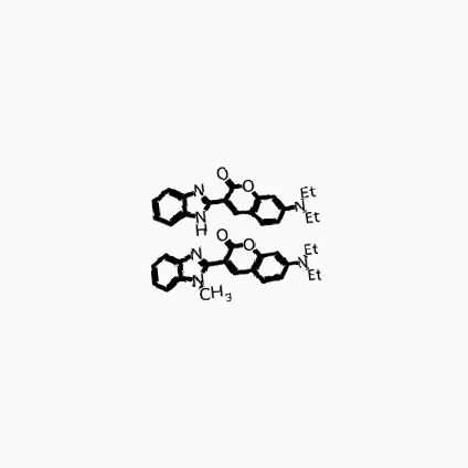 CCN(CC)c1ccc2cc(-c3nc4ccccc4[nH]3)c(=O)oc2c1.CCN(CC)c1ccc2cc(-c3nc4ccccc4n3C)c(=O)oc2c1